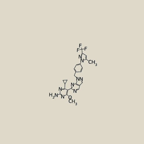 COc1nc(N)nc(C2CC2)c1-c1ncc2cnn(Cc3ccc(-n4nc(C(F)(F)F)cc4C)cc3)c2n1